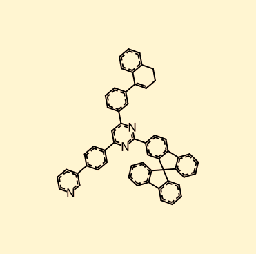 C1=C(c2cccc(-c3cc(-c4ccc(-c5cccnc5)cc4)nc(-c4ccc5c(c4)C4(c6ccccc6-c6ccccc64)c4ccccc4-5)n3)c2)c2ccccc2CC1